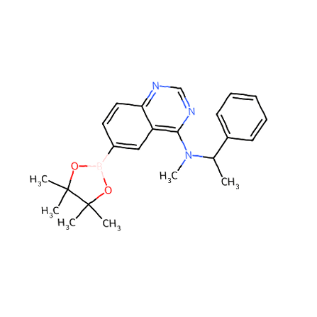 CC(c1ccccc1)N(C)c1ncnc2ccc(B3OC(C)(C)C(C)(C)O3)cc12